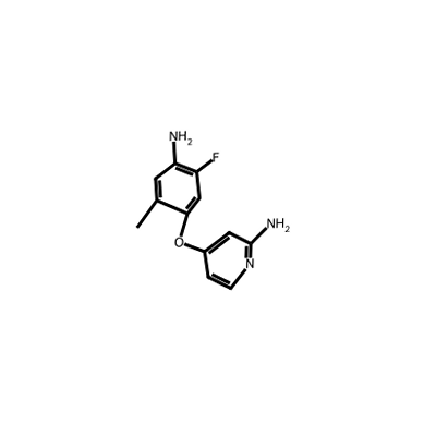 Cc1cc(N)c(F)cc1Oc1ccnc(N)c1